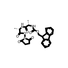 C[C@H](NC(=O)OCC1c2ccccc2-c2ccccc21)C(=O)N[C@@H](C)C(=O)ON1C(=O)CCC1=O